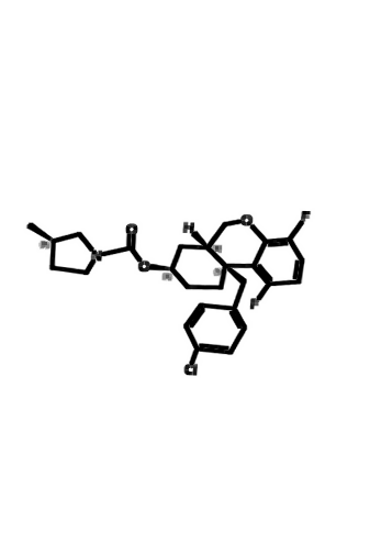 C[C@@H]1CCN(C(=O)O[C@@H]2CC[C@@]3(Cc4ccc(Cl)cc4)c4c(F)ccc(F)c4OC[C@H]3C2)C1